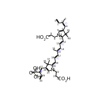 C=C/C(C)=C\C1=C[N+](CCC(=O)O)=C(/C=C/C=C(C)/C=C/C=C2/N(CCC(=O)O)C=C(/C=C(\C=C)P(=O)(O)O)C2(C)C)C1(C)C